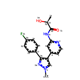 CCn1cc(-c2ccnc(NC(=O)[C@H](C)O)c2)c(-c2ccc(F)cc2)n1